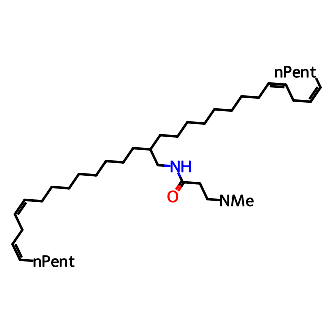 CCCCC/C=C\C/C=C\CCCCCCCCC(CCCCCCCC/C=C\C/C=C\CCCCC)CNC(=O)CCNC